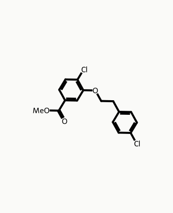 COC(=O)c1ccc(Cl)c(OCCc2ccc(Cl)cc2)c1